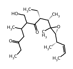 C/C=C\[C@H](C)[C@H]1OC1(C)[C@@H](C)[C@@H](CC)C(=O)C(CO)C(C)CC(=O)CC